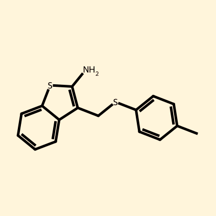 Cc1ccc(SCc2c(N)sc3ccccc23)cc1